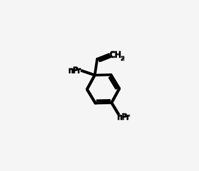 C=CC1(CCC)C=CC(CCC)=CC1